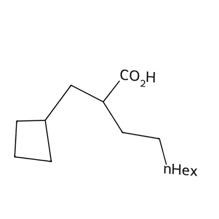 CCCCCCCCC(CC1CCC1)C(=O)O